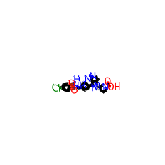 Nc1nccc2c1c(-c1ccc(CNS(=O)(=O)c3ccc(Cl)cc3)cc1)nn2[C@@H]1CCCN(C(=O)O)C1